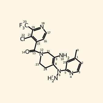 Cc1ccnc(N(N)C2=C(N)CN(C(=O)c3ccnc(C(F)(F)F)c3Cl)CC2)c1